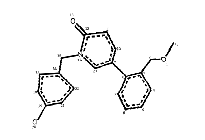 COCc1ccccc1-c1ccc(=O)n(Cc2ccc(Cl)cc2)c1